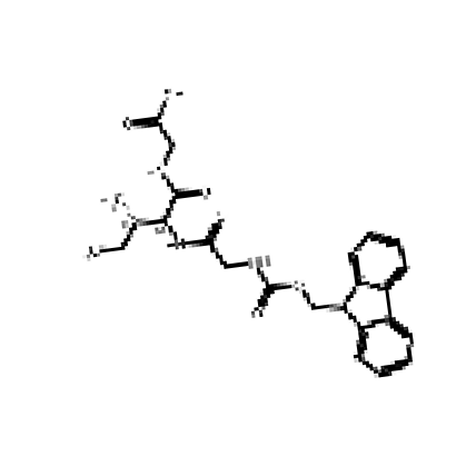 CC[C@H](C)[C@H](NC(=O)CNC(=O)OCC1c2ccccc2-c2ccccc21)C(=O)NCC(=O)O